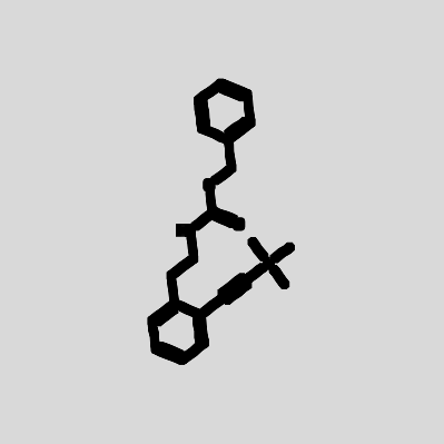 C[Si](C)(C)C#Cc1ccccc1CCNC(=O)OCc1ccccc1